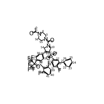 CC(=O)N1CCN(C(=O)N2C[C@@H](S(=O)(=O)c3ccc(F)c(-c4ccccc4)c3)[C@H](c3ccc(C(OCc4c(F)cccc4F)(C(F)(F)F)C(F)(F)F)cc3)C2)CC1